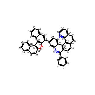 c1ccc(-c2nc3cc(-c4cc5ccccc5c5c4oc4ccc6ccccc6c45)ccc3c3c2ccc2ccc4cccnc4c23)cc1